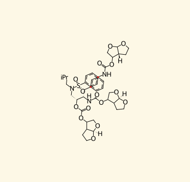 CC(C)CN(C[C@@H](OC(=O)OC1CO[C@H]2OCCC12)[C@H](Cc1ccccc1)NC(=O)OC1CO[C@H]2OCCC12)S(=O)(=O)c1ccc(NC(=O)OC2COC3OCC[C@H]23)cc1